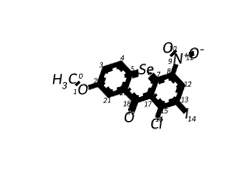 COc1ccc2[se]c3c([N+](=O)[O-])cc(I)c(Cl)c3c(=O)c2c1